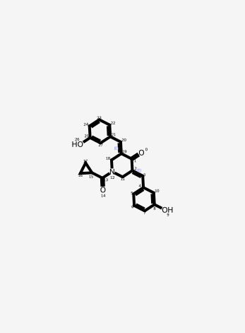 O=C1/C(=C/c2cccc(O)c2)CN(C(=O)C2CC2)C/C1=C\c1cccc(O)c1